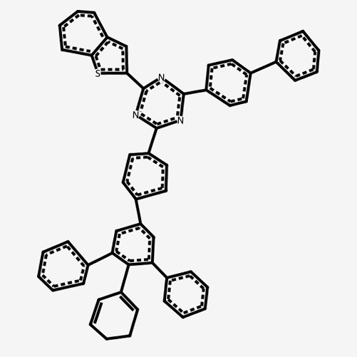 C1=CC(c2c(-c3ccccc3)cc(-c3ccc(-c4nc(-c5ccc(-c6ccccc6)cc5)nc(-c5cc6ccccc6s5)n4)cc3)cc2-c2ccccc2)=CCC1